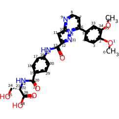 COc1ccc(-c2ccnc3cc(C(=O)Nc4ccc(C(=O)N[C@@H](CO)C(=O)O)cc4)nn23)cc1OC